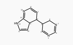 C1=CC(C2C=NC=NC2)C2C=CNC2=N1